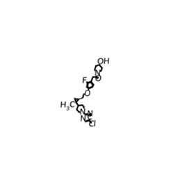 C[C@]1(C2CCN(c3ncc(Cl)cn3)CC2)C[C@H]1CCOc1ccc(CC(=O)N2CCC(O)CC2)c(F)c1